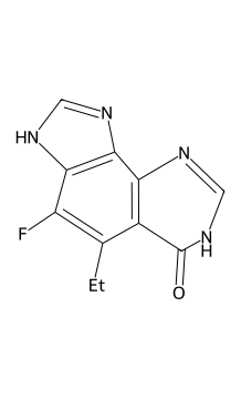 CCc1c(F)c2[nH]cnc2c2nc[nH]c(=O)c12